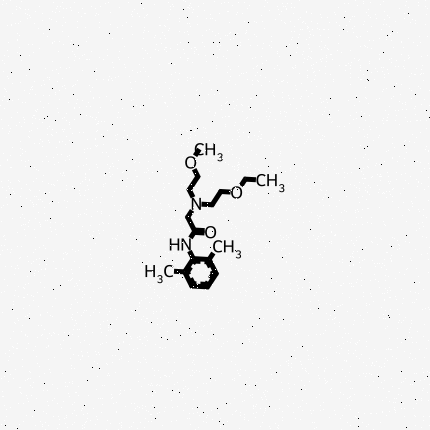 CCOCCN(CCOC)CC(=O)Nc1c(C)cccc1C